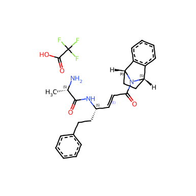 C[C@H](N)C(=O)N[C@H](/C=C/C(=O)N1[C@@H]2CC[C@H]1c1ccccc12)CCc1ccccc1.O=C(O)C(F)(F)F